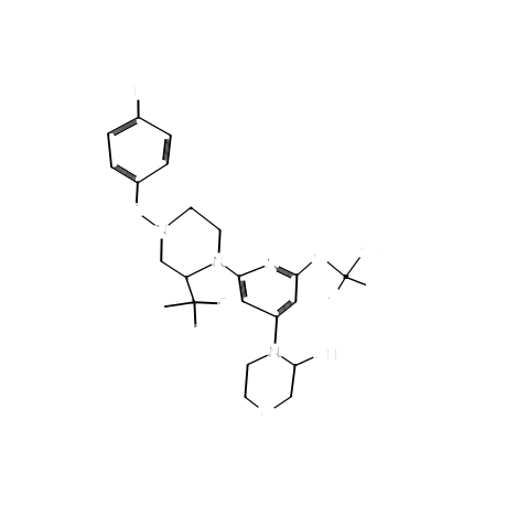 CC1COCCN1c1cc(OC(C)(C)C)nc(N2CCN(Sc3ccc(F)cc3)CC2C(F)(F)F)c1